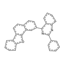 c1ccc(-c2nc(-c3ccc4ccc5c6ccccc6oc5c4c3)c3ccccc3n2)cc1